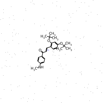 CNc1ccc(C(=O)/C=C/c2ccc(OC(C)(C)C)cc2OC(C)(C)C)cc1